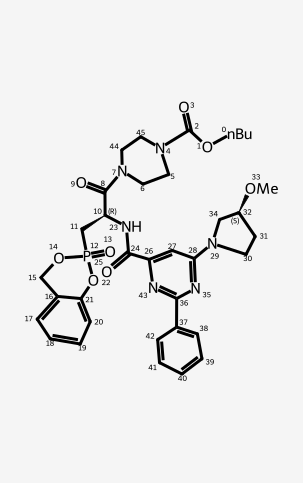 CCCCOC(=O)N1CCN(C(=O)[C@H](CP2(=O)OCc3ccccc3O2)NC(=O)c2cc(N3CC[C@H](OC)C3)nc(-c3ccccc3)n2)CC1